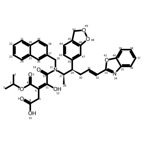 CC(C)OC(=O)/C(CC(=O)O)=C(/O)C(=O)N(Cc1ccc2ccccc2c1)[C@H](C)[C@H](C/C=C/c1nc2ccccc2o1)c1ccc2c(c1)OOC2